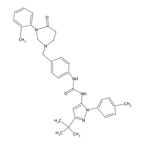 Cc1ccc(-n2nc(C(C)(C)C)cc2NC(=O)Nc2ccc(CN3CCC(=O)N(c4ccccc4C)C3)cc2)cc1